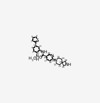 CNc1ccc(-c2cccs2)cc1NC(=O)c1ccc(N2CCC3(CC2)CNC3)nc1